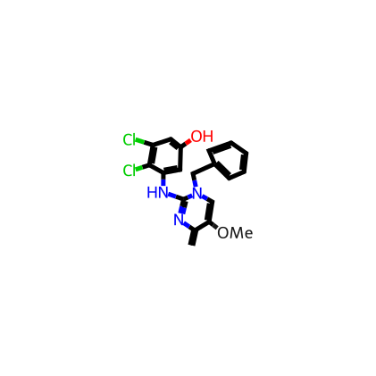 C=C1N=C(Nc2cc(O)cc(Cl)c2Cl)N(Cc2ccccc2)C=C1OC